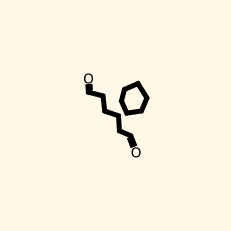 C1CCCCC1.O=CCCCCC=O